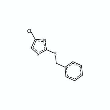 Clc1csc(SCc2ccccc2)n1